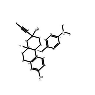 CC#CC1(O)CC[C@@]2(Cc3ccc(N(C)C)cc3)c3ccc(O)cc3CC[C@@H]2C1